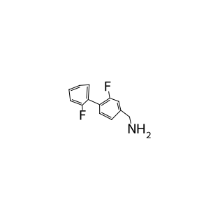 NCc1ccc(-c2ccccc2F)c(F)c1